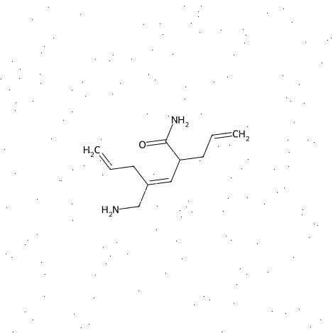 C=CC/C(=C\C(CC=C)C(N)=O)CN